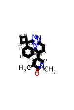 Cc1cc(-c2ccc3nnc(C4(c5ccccc5)CCC4)n3c2)cn(C)c1=O